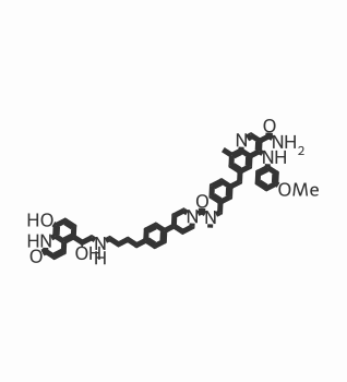 COc1cccc(Nc2c(C(N)=O)cnc3c(C)cc(Cc4cccc(CN(C)C(=O)N5CCC(c6ccc(CCCCNC[C@H](O)c7ccc(O)c8[nH]c(=O)ccc78)cc6)CC5)c4)cc23)c1